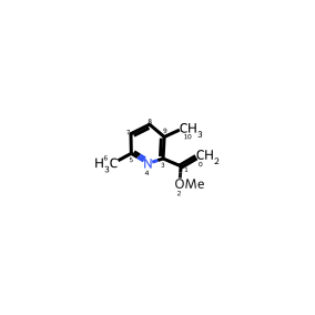 C=C(OC)c1nc(C)ccc1C